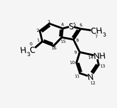 Cc1ccc2sc(C)c(C3C=CN=CN3)c2c1